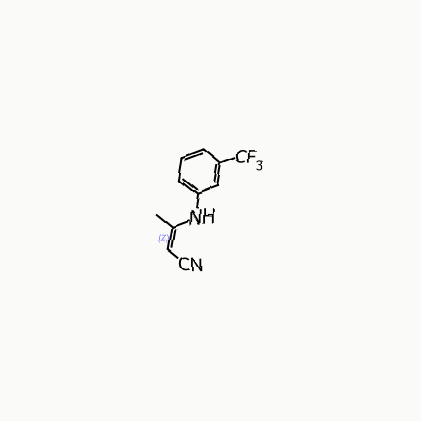 C/C(=C/C#N)Nc1cccc(C(F)(F)F)c1